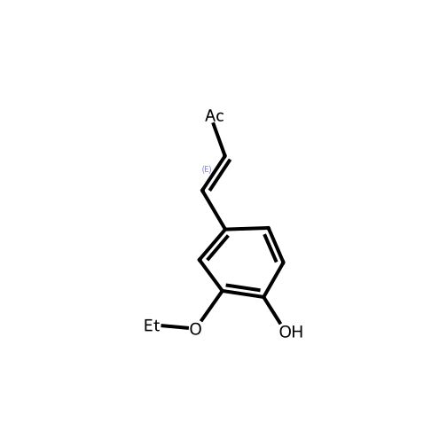 CCOc1cc(/C=C/C(C)=O)ccc1O